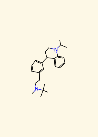 CC(C)N1CCC(c2cccc(CCN(C)C(C)(C)C)c2)c2ccccc21